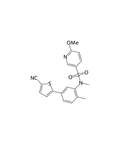 COc1ccc(S(=O)(=O)N(C)c2cc(-c3ccc(C#N)s3)ccc2C)cn1